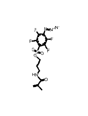 C=C(C)C(=O)NCCCOS(=O)(=O)c1c(F)c(F)c(N=[N+]=[N-])c(F)c1F